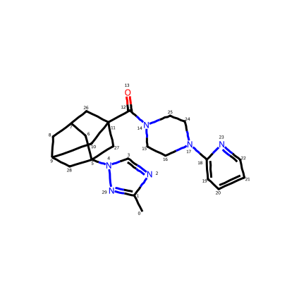 Cc1ncn(C23CC4CC(CC(C(=O)N5CCN(c6ccccn6)CC5)(C4)C2)C3)n1